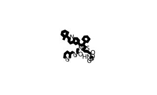 Cc1ccccc1-c1ccc2cc(-c3c(C4CCCCC4)c4sc(C(=O)NS(C)(=O)=O)cc4n3CC(=O)N(C)CC3CCCN(C)C3)ccc2n1